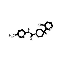 Cc1ccc(NC(=O)N2CCC(F)(c3ncccc3Cl)CC2)nc1